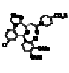 COc1ccc([C@@H]2O[C@@H](CC(=O)N3CCC(C(=O)O)CC3)C(=O)N(CC(C)(C)C)c3ccc(Cl)cc32)c(Cl)c1OC